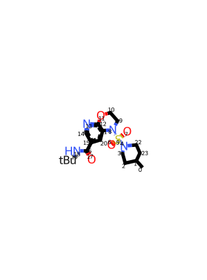 CC1CCN(S(=O)(=O)N2CCOc3ncc(C(=O)NC(C)(C)C)cc32)CC1